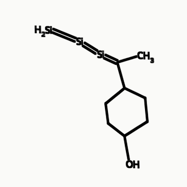 CC(=[Si]=[Si]=[SiH2])C1CCC(O)CC1